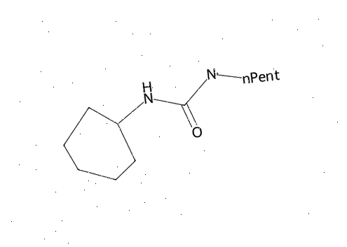 CCCCC[N]C(=O)NC1CCCCC1